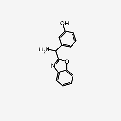 NC(c1cccc(O)c1)c1nc2ccccc2o1